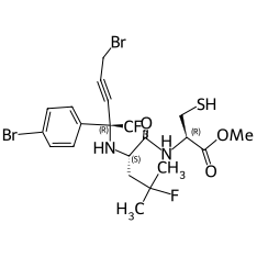 COC(=O)[C@H](CS)NC(=O)[C@H](CC(C)(C)F)N[C@@](C#CCBr)(c1ccc(Br)cc1)C(F)(F)F